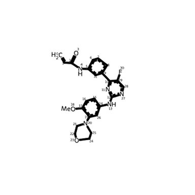 C=CC(=O)Nc1cccc(-c2nc(Nc3ccc(OC)c(N4CCOCC4)c3)ncc2F)c1